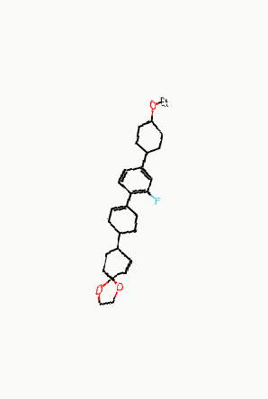 CCOC1CCC(c2ccc(C3=CCC(C4CCC5(CC4)OCCO5)CC3)c(F)c2)CC1